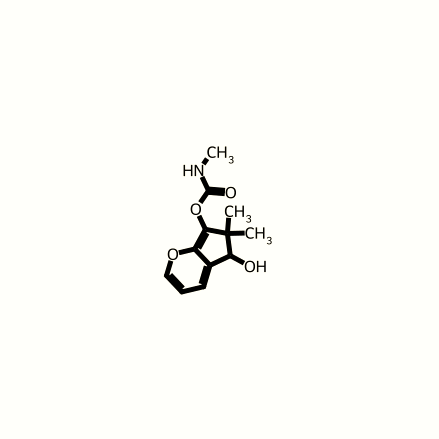 CNC(=O)OC1=C2OC=CC=C2C(O)C1(C)C